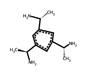 C[C@H](N)c1cc([C@@H](C)N)cc([C@@H](C)N)c1